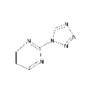 c1cnc(-n2cnnn2)nc1